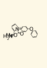 COC(=O)[N+]1(c2ccc(Oc3ccccc3)cc2)CC=CC=C1CN